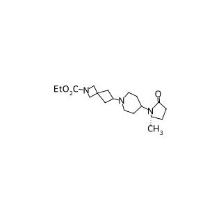 CCOC(=O)N1CC2(CC(N3CCC(N4C(=O)CC[C@@H]4C)CC3)C2)C1